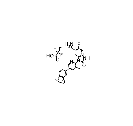 Cc1cc(-c2ccc3c(c2)OCO3)cnc1-n1c(CC(CN)=C(F)F)n[nH]c1=O.O=C(O)C(F)(F)F